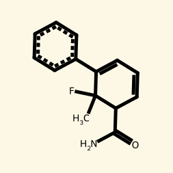 CC1(F)C(c2ccccc2)=CC=CC1C(N)=O